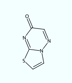 O=c1cnn2ccsc2n1